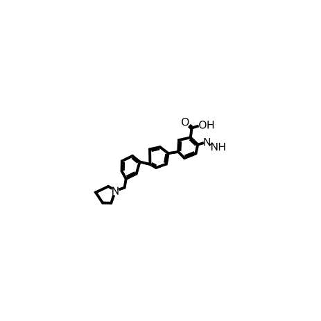 N=Nc1ccc(-c2ccc(-c3cccc(CN4CCCC4)c3)cc2)cc1C(=O)O